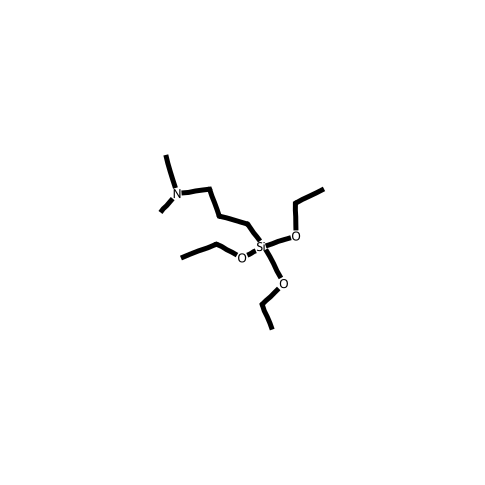 CCO[Si](CCCN(C)C)(OCC)OCC